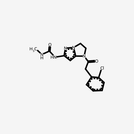 CNC(=O)Nc1cc2n(n1)CCN2C(=O)Cc1ccccc1Cl